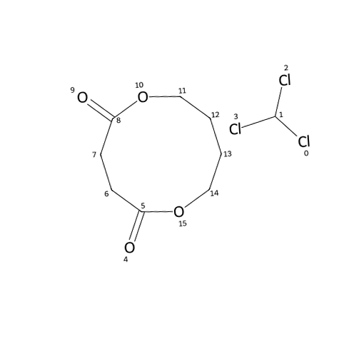 ClC(Cl)Cl.O=C1CCC(=O)OCCCCO1